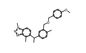 COc1ccc(COCc2cc(C(C)c3ccc4c(nnn4C)c3C)ccc2C)cc1